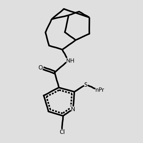 CCCSc1nc(Cl)ccc1C(=O)NC1CCC2CC3CC2CC1C3